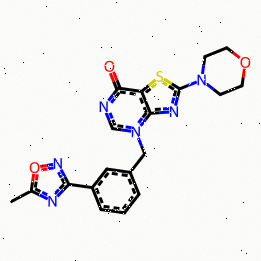 Cc1nc(-c2cccc(Cn3cnc(=O)c4sc(N5CCOCC5)nc43)c2)no1